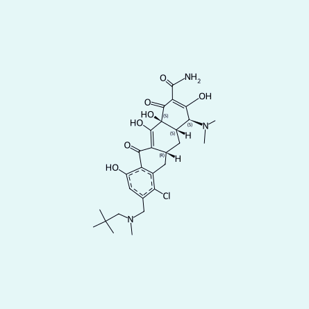 CN(Cc1cc(O)c2c(c1Cl)C[C@H]1C[C@H]3[C@H](N(C)C)C(O)=C(C(N)=O)C(=O)[C@@]3(O)C(O)=C1C2=O)CC(C)(C)C